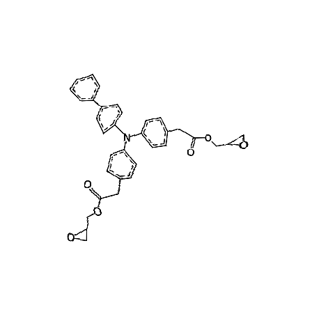 O=C(Cc1ccc(N(c2ccc(CC(=O)OCC3CO3)cc2)c2ccc(-c3ccccc3)cc2)cc1)OCC1CO1